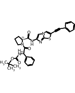 CC(C)(C)OC(=O)N[C@@H](C(=O)N1CCC[C@H]1C(=O)Nc1cn2cc(C#Cc3ccccc3)sc2n1)c1ccccc1